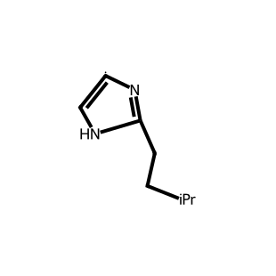 CC(C)CCc1n[c]c[nH]1